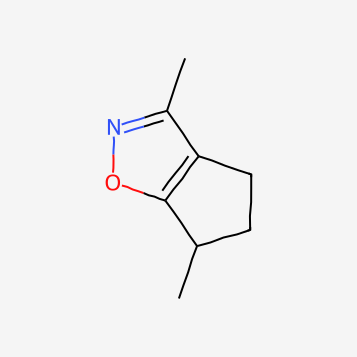 Cc1noc2c1CCC2C